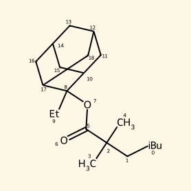 CCC(C)CC(C)(C)C(=O)OC1(CC)C2CC3CC(C2)CC1C3